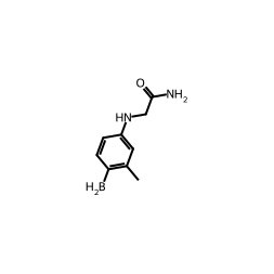 Bc1ccc(NCC(N)=O)cc1C